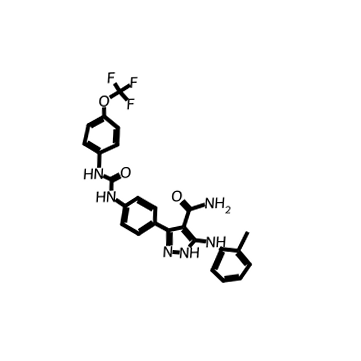 Cc1ccccc1Nc1[nH]nc(-c2ccc(NC(=O)Nc3ccc(OC(F)(F)F)cc3)cc2)c1C(N)=O